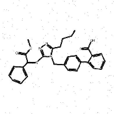 CCCCc1nnc(SC(C(=O)OC)c2ccccc2)n1Cc1ccc(-c2ccccc2C(=O)O)cc1